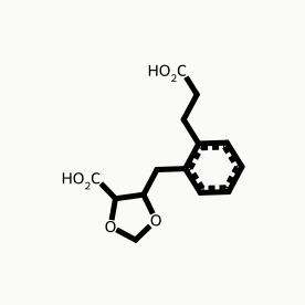 O=C(O)CCc1ccccc1CC1OCOC1C(=O)O